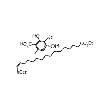 CCCCCCCC/C=C\CCCCCCCCCCCCCC(=O)OCC.CCc1c(O)cc(C)c(C(=O)O)c1O